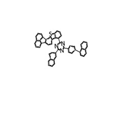 c1ccc2cc(-c3nc(-c4ccc(-c5cccc6ccccc56)cc4)nc(-c4cccc5sc6c7c(ccc6c45)-c4cccc5cccc-7c45)n3)ccc2c1